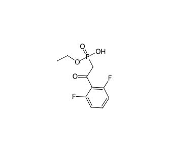 CCOP(=O)(O)CC(=O)c1c(F)cccc1F